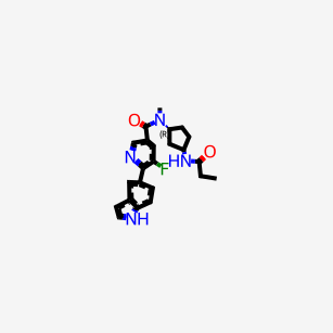 CCC(=O)NC1CC[C@@H](N(C)C(=O)c2cnc(-c3ccc4[nH]ccc4c3)c(F)c2)C1